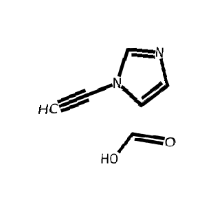 C#Cn1ccnc1.O=CO